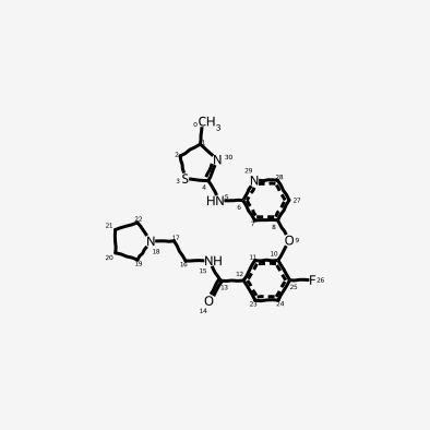 CC1CSC(Nc2cc(Oc3cc(C(=O)NCCN4CCCC4)ccc3F)ccn2)=N1